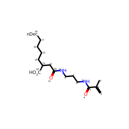 C=C(C)C(=O)NCCCNC(=O)CC(CCCCCCCCCCCCCC)C(=O)O